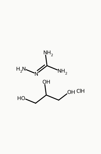 Cl.NN=C(N)N.OCC(O)CO